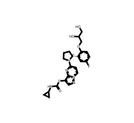 O=C(NC1CC1)Oc1cnn2ccc(N3CCC[C@@H]3c3cc(F)ccc3OCC(O)CO)nc12